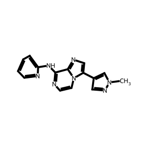 Cn1cc(-c2cnc3c(Nc4ccccn4)nccn23)cn1